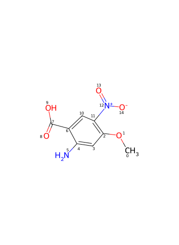 COc1cc(N)c(C(=O)O)cc1[N+](=O)[O-]